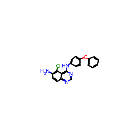 Nc1ccc2ncnc(Nc3ccc(Oc4ccccc4)cc3)c2c1Cl